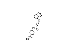 CC(C)(O)[C@H]1CC[C@H](NC(=O)[C@H]2C[C@H](Oc3cccc4ccoc34)C2)CC1